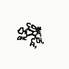 CC1(C)CC(C)(C#N)c2c1c(C=O)n(-c1ccccc1)c2C(=O)O